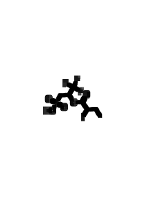 CCC(I)C(=O)OC(CS(=O)(=O)O)C(F)(F)F